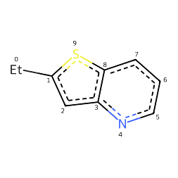 CCc1cc2ncccc2s1